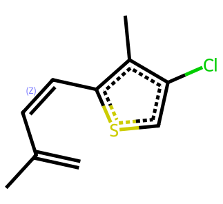 C=C(C)/C=C\c1scc(Cl)c1C